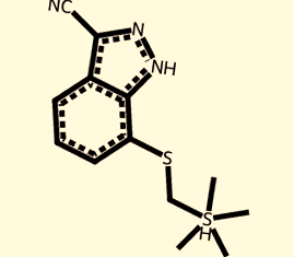 C[SH](C)(C)(C)CSc1cccc2c(C#N)n[nH]c12